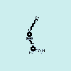 CCOCCCCCCOc1ccc(S(=O)(=O)CCCOc2ccc(O)c(C(=O)O)c2)cc1